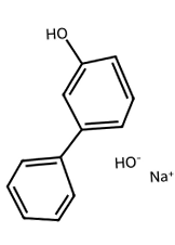 Oc1cccc(-c2ccccc2)c1.[Na+].[OH-]